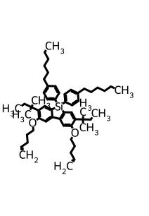 C=CCCCOc1cc2c(cc1C(C)(C)CC)[Si](c1ccc(CCCCCC)cc1)(c1ccc(CCCCCC)cc1)c1cc(C(C)(C)CC)c(OCCCC=C)cc1-2